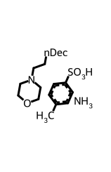 CCCCCCCCCCCCN1CCOCC1.Cc1ccc(S(=O)(=O)O)cc1.N